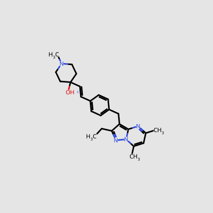 CCc1nn2c(C)cc(C)nc2c1Cc1ccc(/C=C/C2(O)CCN(C)CC2)cc1